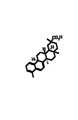 CC1=CCC=C2C1=CC=C1[C@@H]2CC[C@@H]2[C@H]3CC(C)(C(=O)O)CC[C@]3(C)CC[C@@]12C